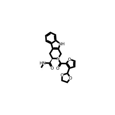 CNC(=O)[C@H]1Cc2c([nH]c3ccccc23)CN1C(=O)c1occc1C1OCCO1